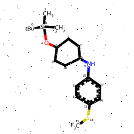 CC(C)(C)[Si](C)(C)OC1CCC(Nc2ccc(SC(F)(F)F)cc2)CC1